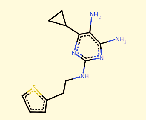 Nc1nc(NCCc2cccs2)nc(C2CC2)c1N